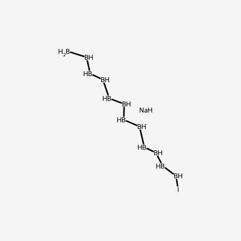 BBBBBBBBBBBBI.[NaH]